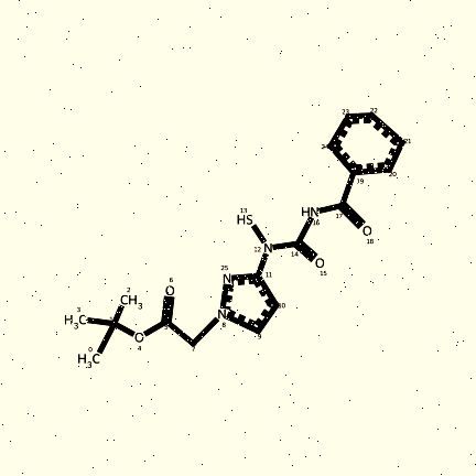 CC(C)(C)OC(=O)Cn1ccc(N(S)C(=O)NC(=O)c2ccccc2)n1